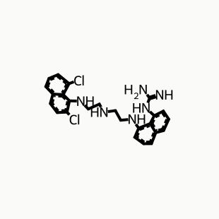 N=C(N)Nc1cccc2cccc(NCCNCCNc3c(Cl)ccc4cccc(Cl)c34)c12